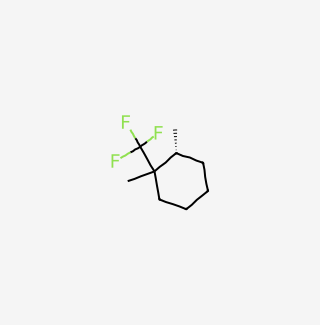 C[C@@H]1CCCCC1(C)C(F)(F)F